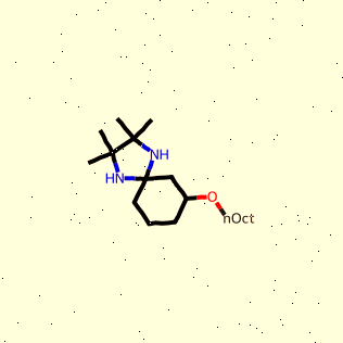 CCCCCCCCOC1CCCC2(C1)NC(C)(C)C(C)(C)N2